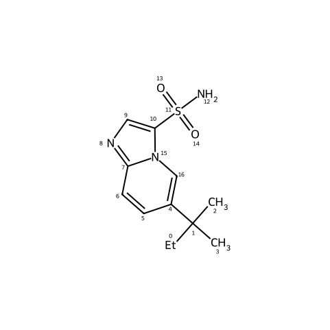 CCC(C)(C)c1ccc2ncc(S(N)(=O)=O)n2c1